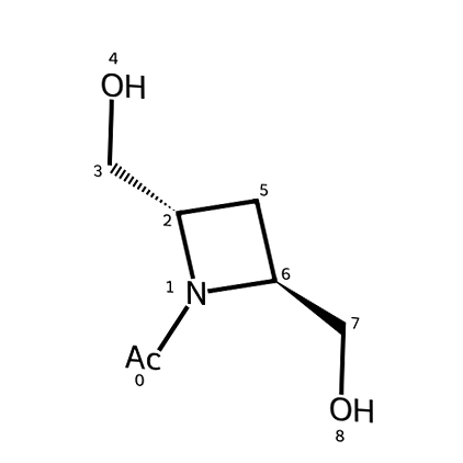 CC(=O)N1[C@H](CO)C[C@H]1CO